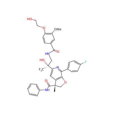 COc1cc(C(=O)NC[C@](O)(c2cc3c(c(-c4ccc(F)cc4)n2)OC[C@]3(C)C(=O)Nc2ccccc2)C(F)(F)F)ccc1OCCO